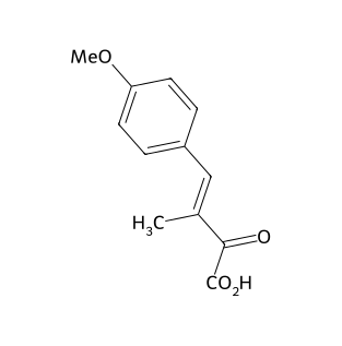 COc1ccc(/C=C(\C)C(=O)C(=O)O)cc1